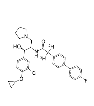 [2H]C([2H])(C(=O)N[C@H](CN1CCCC1)[C@H](O)c1ccc(OC2CC2)c(Cl)c1)c1ccc(-c2ccc(F)cc2)cc1